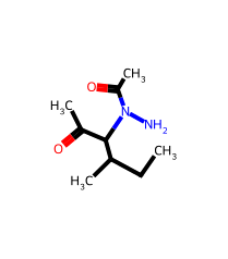 CCC(C)C(C(C)=O)N(N)C(C)=O